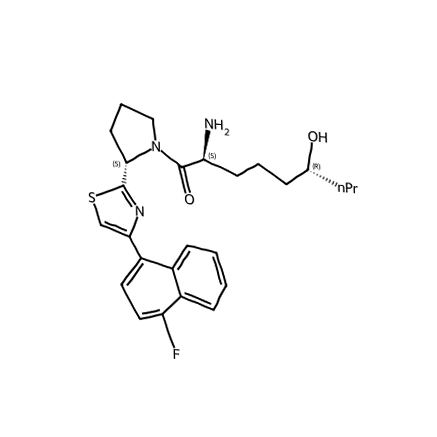 CCC[C@@H](O)CCC[C@H](N)C(=O)N1CCC[C@H]1c1nc(-c2ccc(F)c3ccccc23)cs1